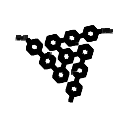 COc1ccc(-c2ccc(-c3ccccc3-c3cc(-c4ccccc4-c4ccc(-c5ccc(C)cc5)nc4)cc(-c4ccccc4-c4ccc(-c5ccc(OC)cc5)nc4)c3)cn2)cc1